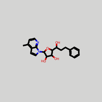 Cc1ccnc2c1ccn2C1OC(C(O)CCc2ccccc2)C(O)C1O